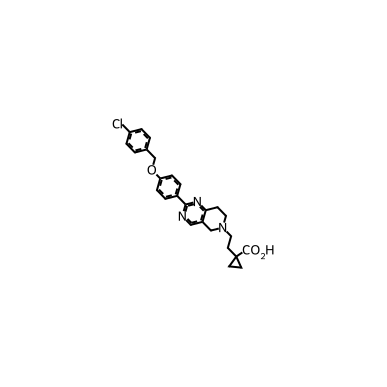 O=C(O)C1(CCN2CCc3nc(-c4ccc(OCc5ccc(Cl)cc5)cc4)ncc3C2)CC1